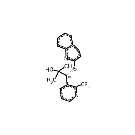 CC(C)(O)[C@H](Sc1ccc2ccccc2n1)c1cccnc1C(F)(F)F